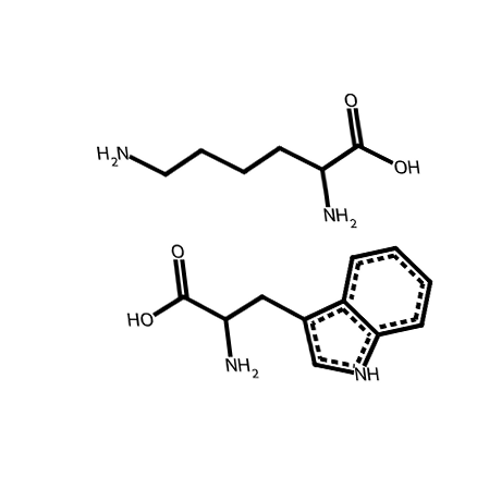 NC(Cc1c[nH]c2ccccc12)C(=O)O.NCCCCC(N)C(=O)O